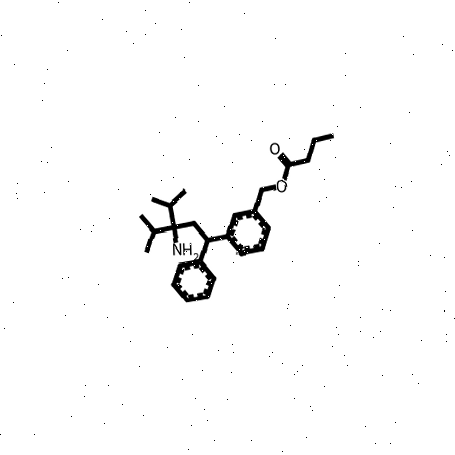 CCCC(=O)OCc1cc[c]c(C(CC(N)(C(C)C)C(C)C)c2ccccc2)c1